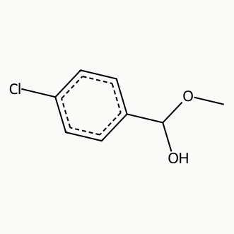 COC(O)c1ccc(Cl)cc1